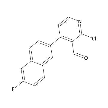 O=Cc1c(-c2ccc3cc(F)ccc3c2)ccnc1Cl